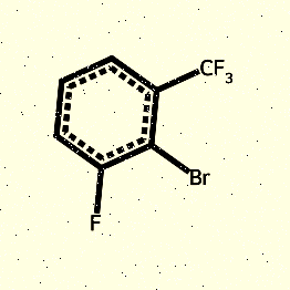 Fc1cccc(C(F)(F)F)c1Br